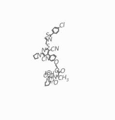 C[C@H](NC(=O)[C@@H]1CCCN1C(=O)OC(C)(C)C)C(=O)OCCOc1ccc(-c2c(C#N)c(SCc3csc(-c4ccc(Cl)cc4)n3)nc(N3CCCC3)c2C#N)cc1